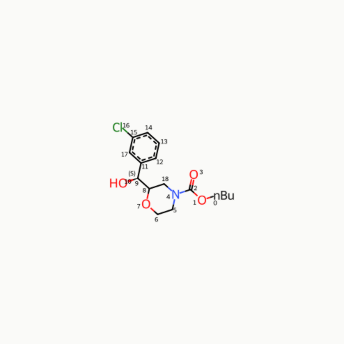 CCCCOC(=O)N1CCOC([C@@H](O)c2cccc(Cl)c2)C1